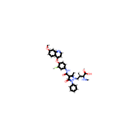 CNC(C(=O)O)[C@H](C)Cn1c(C)c(C(=O)Nc2ccc(Oc3ccnc4cc(OC)ccc34)c(F)c2)c(=O)n1-c1ccccc1